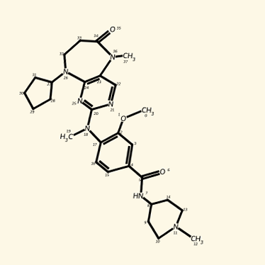 COc1cc(C(=O)NC2CCN(C)CC2)ccc1N(C)c1ncc2c(n1)N(C1CCCC1)CCC(=O)N2C